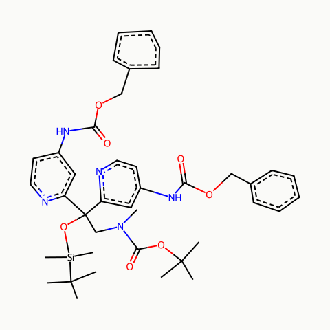 CN(CC(O[Si](C)(C)C(C)(C)C)(c1cc(NC(=O)OCc2ccccc2)ccn1)c1cc(NC(=O)OCc2ccccc2)ccn1)C(=O)OC(C)(C)C